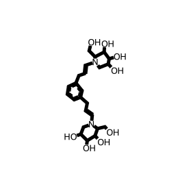 OCC1C(O)C(O)C(O)CN1C=CCc1cccc(CC=CN2CC(O)C(O)C(O)C2CO)c1